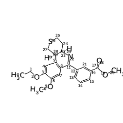 CCOc1cc2c(cc1OC)C(c1cccc(C(=O)OC)c1)=N[C@@H]1CCSC[C@H]21